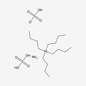 CCCC[N+](CCCC)(CCCC)CCCC.N.O=S(=O)(O)O.O=S(=O)([O-])O